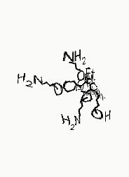 CC[C@@H](OCCCCN)C1[C@@H]2CC[C@H]([C@H](C)CCCO)[C@@]2(C)[C@@H](OCCCCN)C[C@@H]1[C@]1(C)CC[C@H](OCCCCN)CC1